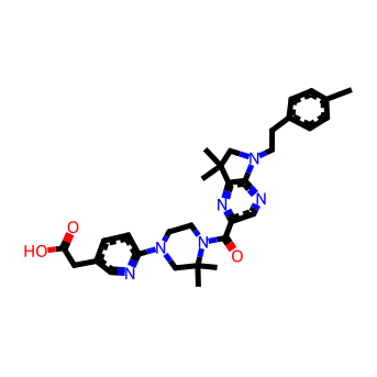 Cc1ccc(CCN2CC(C)(C)c3nc(C(=O)N4CCN(c5ccc(CC(=O)O)cn5)CC4(C)C)cnc32)cc1